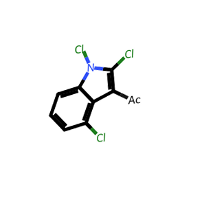 CC(=O)c1c(Cl)n(Cl)c2cccc(Cl)c12